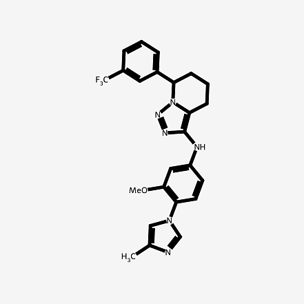 COc1cc(Nc2nnn3c2CCCC3c2cccc(C(F)(F)F)c2)ccc1-n1cnc(C)c1